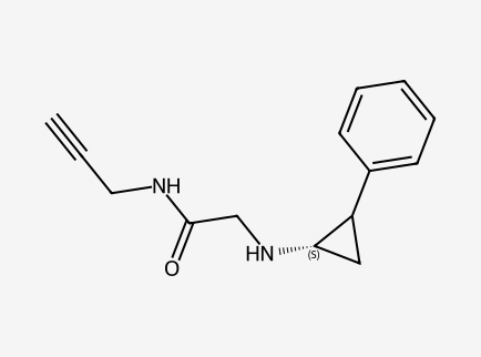 C#CCNC(=O)CN[C@H]1CC1c1ccccc1